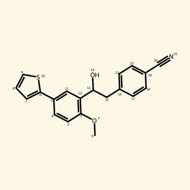 COc1ccc(-c2cccs2)cc1C(O)Cc1ccc(C#N)cc1